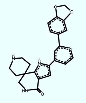 O=C1NCC2(CCNCC2)c2[nH]c(-c3ccnc(-c4ccc5c(c4)OCO5)c3)cc21